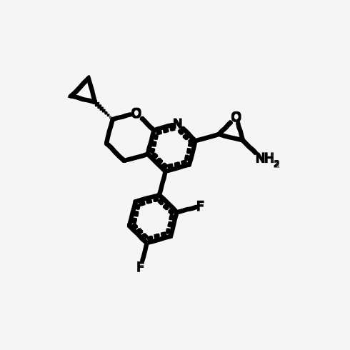 NC1OC1c1cc(-c2ccc(F)cc2F)c2c(n1)O[C@@H](C1CC1)CC2